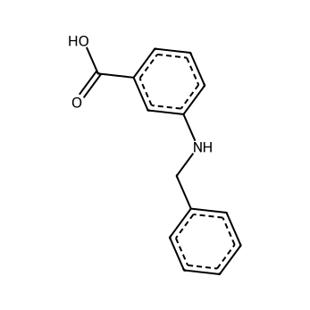 O=C(O)c1cccc(NCc2ccccc2)c1